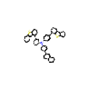 c1cc(-c2cccc3sc4ccccc4c23)cc(N(c2ccc(-c3ccc4ccccc4c3)cc2)c2ccc(-c3cccc4c3sc3ccccc34)cc2)c1